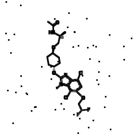 CC(=O)N[C@@H](C)CO[C@H]1CC[C@H](Oc2nc3c(Cl)cc(OCC(F)F)c(Cl)c3n2C)CC1